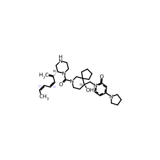 C=C(/C=C\C=C/C)[C@@H]1CNCCN1C(=O)N1CC[C@@](O)(Cn2ccc(N3CCCC3)cc2=O)C2(CCCC2)C1